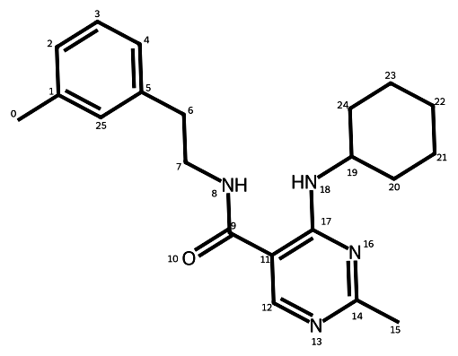 Cc1cccc(CCNC(=O)c2cnc(C)nc2NC2CCCCC2)c1